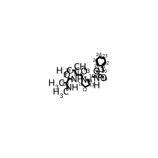 CN[C@@H](C)C(=O)N[C@H](C(=O)N1CCC[C@H]1CNS(=O)(=O)Cc1ccccc1)C(C)C